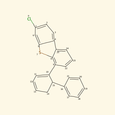 Clc1ccc2c(c1)sc1c(C3=CC=CCC3c3ccccc3)cccc12